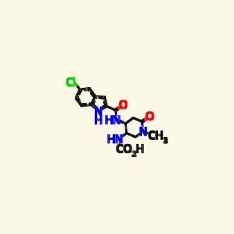 CN1CC(NC(=O)O)[C@@H](NC(=O)c2cc3cc(Cl)ccc3[nH]2)CC1=O